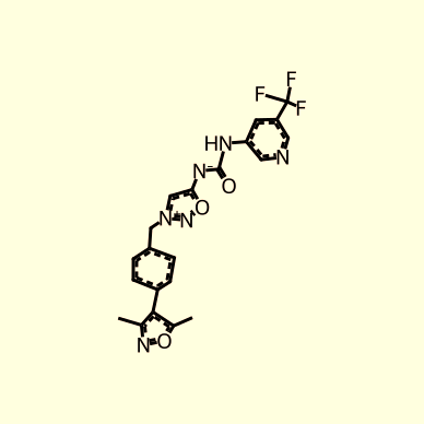 Cc1noc(C)c1-c1ccc(C[n+]2cc([N-]C(=O)Nc3cncc(C(F)(F)F)c3)on2)cc1